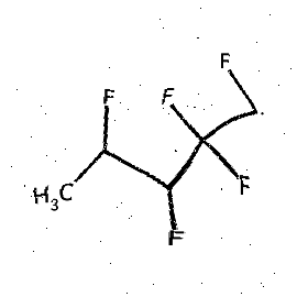 CC(F)C(F)C(F)(F)[CH]F